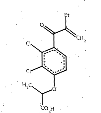 C=C(CC)C(=O)c1ccc(OC(C)C(=O)O)c(Cl)c1Cl